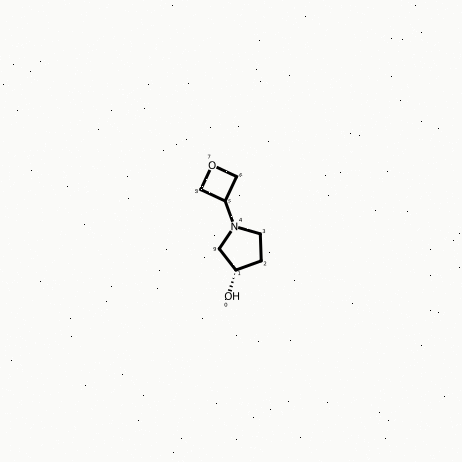 O[C@H]1CCN(C2COC2)C1